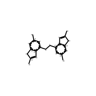 CC1=Cc2c(CCc3cc(C)cc4c3C=C(C)C4)cc(C)cc2C1